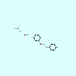 COc1ccc(CCC(=O)c2cccc(OCC(=O)OCC(C)C)c2)cc1OC